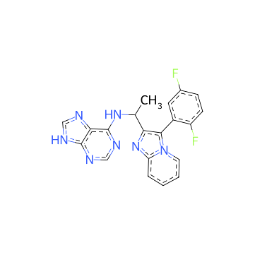 CC(Nc1ncnc2[nH]cnc12)c1nc2ccccn2c1-c1cc(F)ccc1F